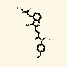 COC(=O)Oc1cccc2oc(/C=C/C(=O)N(N)c3ccc(OC)cc3)c(C)c12